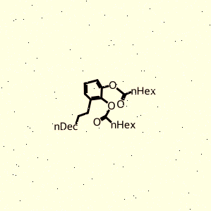 CCCCCCCCCCCCc1cccc(OC(=O)CCCCCC)c1OC(=O)CCCCCC